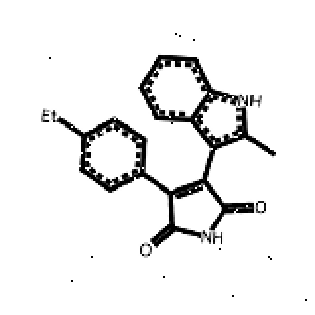 CCc1ccc(C2=C(c3c(C)[nH]c4ccccc34)C(=O)NC2=O)cc1